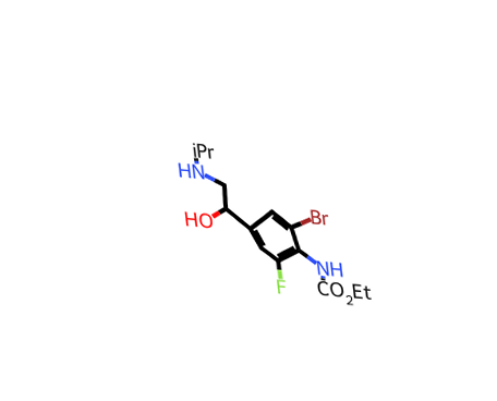 CCOC(=O)Nc1c(F)cc(C(O)CNC(C)C)cc1Br